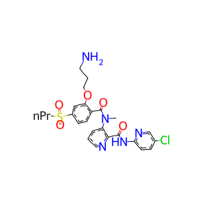 CCCS(=O)(=O)c1ccc(C(=O)N(C)c2cccnc2C(=O)Nc2ccc(Cl)cn2)c(OCCCN)c1